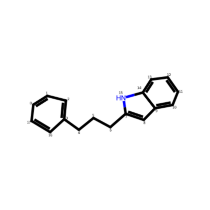 c1ccc(CCCc2cc3ccccc3[nH]2)cc1